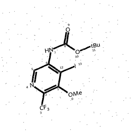 COc1c(C(F)(F)F)ncc(NC(=O)OC(C)(C)C)c1I